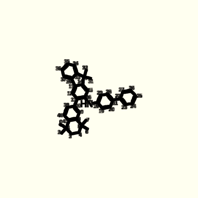 CC1(C)CCC(C)(C)c2cc(-c3cc4c(cc3Nc3ccc(-c5ccccc5)cc3)C(C)(C)c3ccccc3-4)ccc21